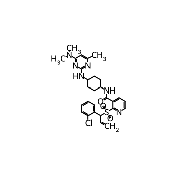 C=CC(c1ccccc1Cl)S(=O)(=O)c1ncccc1C(=O)NC1CCC(Nc2nc(C)cc(N(C)C)n2)CC1